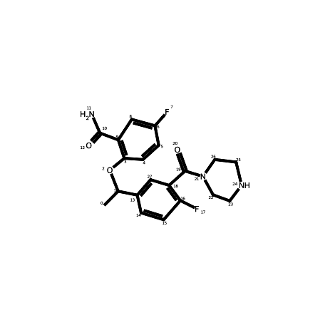 CC(Oc1ccc(F)cc1C(N)=O)c1ccc(F)c(C(=O)N2CCNCC2)c1